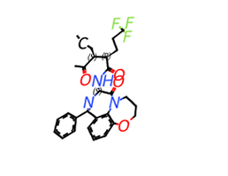 CCC[C@H](C(C)=O)[C@@H](CCC(F)(F)F)C(=O)N[C@H]1N=C(c2ccccc2)c2cccc3c2N(CCCO3)C1=O